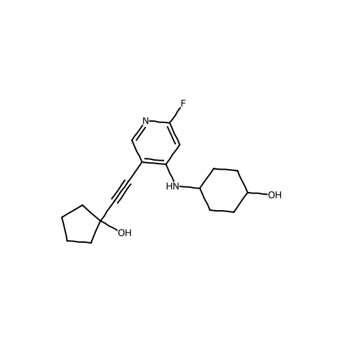 OC1CCC(Nc2cc(F)ncc2C#CC2(O)CCCC2)CC1